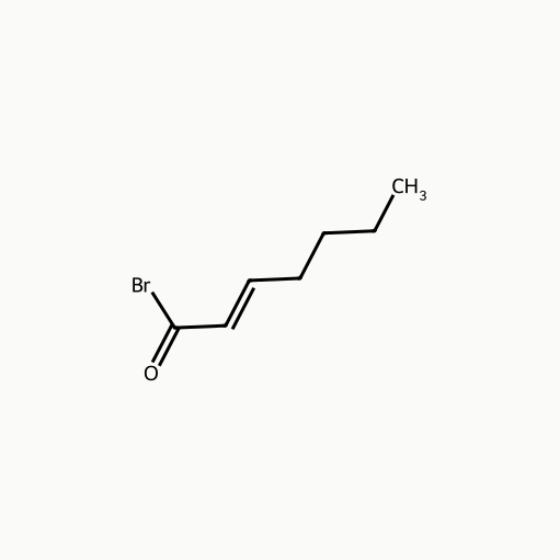 CCCCC=CC(=O)Br